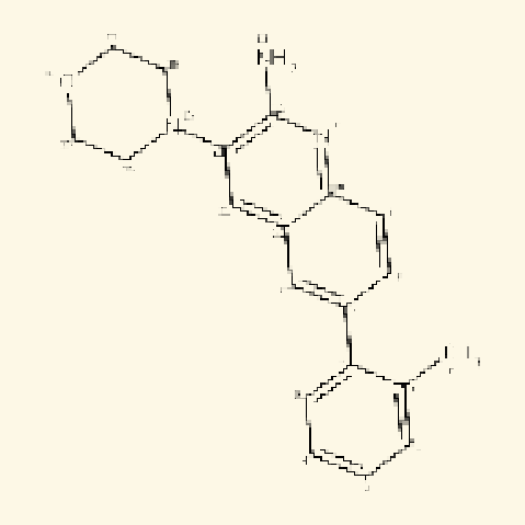 Cc1ccccc1-c1ccc2nc(N)c(N3CCOCC3)cc2c1